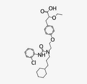 CCOC(Cc1ccc(OCCN(CCCC2CCCCC2)C(=O)Nc2ccccc2Cl)cc1)C(=O)O